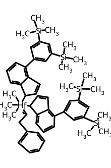 C[Si](C)(C)c1cc(-c2cccc3c2C=C[CH]3[Hf]([CH3])([CH3])([CH3])(=[CH]Cc2ccccc2)[CH]2C=Cc3c(-c4cc([Si](C)(C)C)cc([Si](C)(C)C)c4)cccc32)cc([Si](C)(C)C)c1